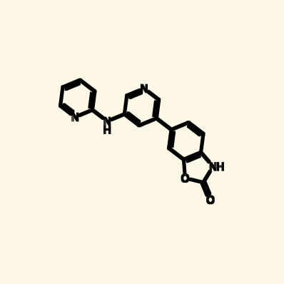 O=c1[nH]c2ccc(-c3cncc(Nc4ccccn4)c3)cc2o1